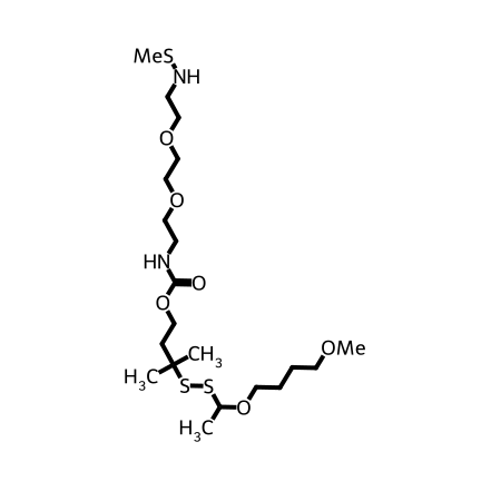 COCCCCOC(C)SSC(C)(C)CCOC(=O)NCCOCCOCCNSC